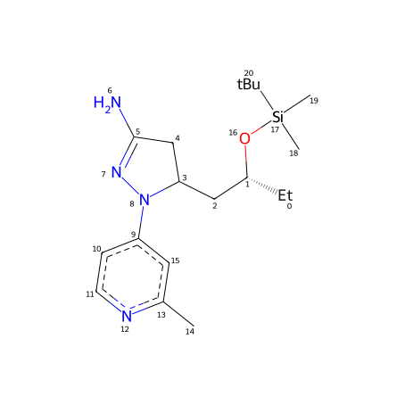 CC[C@H](CC1CC(N)=NN1c1ccnc(C)c1)O[Si](C)(C)C(C)(C)C